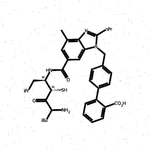 CCCc1nc2c(C)cc(C(=O)N[C@H](CC(C)C)[C@H](S)C(=O)C(N)C(C)CC)cc2n1Cc1ccc(-c2ccccc2C(=O)O)cc1